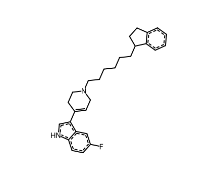 Fc1ccc2[nH]cc(C3=CCN(CCCCCCC4CCc5ccccc54)CC3)c2c1